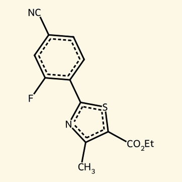 CCOC(=O)c1sc(-c2ccc(C#N)cc2F)nc1C